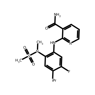 CC(C)c1cc(N(C)S(C)(=O)=O)c(Nc2ncccc2C(N)=O)cc1F